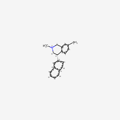 Bc1ccc2c(c1)CN(C)C[C@H]2c1ccc2ccccc2c1